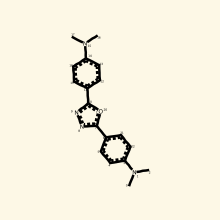 CN(C)c1ccc(-c2nnc(-c3ccc(N(C)C)cc3)o2)cc1